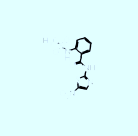 CS(=O)(=O)Nc1ccccc1C(=O)Nc1ncc([N+](=O)[O-])s1